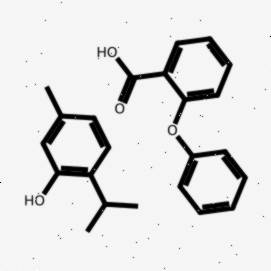 Cc1ccc(C(C)C)c(O)c1.O=C(O)c1ccccc1Oc1ccccc1